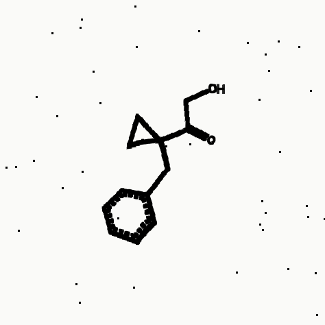 O=C(CO)C1(Cc2ccccc2)CC1